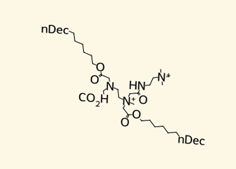 CCCCCCCCCCCCCCCCOC(=O)CN(CC[N+](C)(CC(=O)NCC[N+](C)(C)C)CC(=O)OCCCCCCCCCCCCCCCC)CC(=O)O